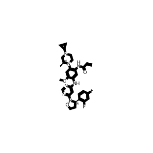 C=CC(=O)Nc1cc(Nc2cc(N3OCC[C@@H]3c3ccc(F)cc3F)ncn2)c(OC)cc1N1CCN(C2CC2)C[C@@H]1C